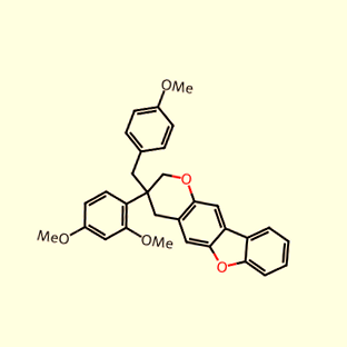 COc1ccc(CC2(c3ccc(OC)cc3OC)COc3cc4c(cc3C2)oc2ccccc24)cc1